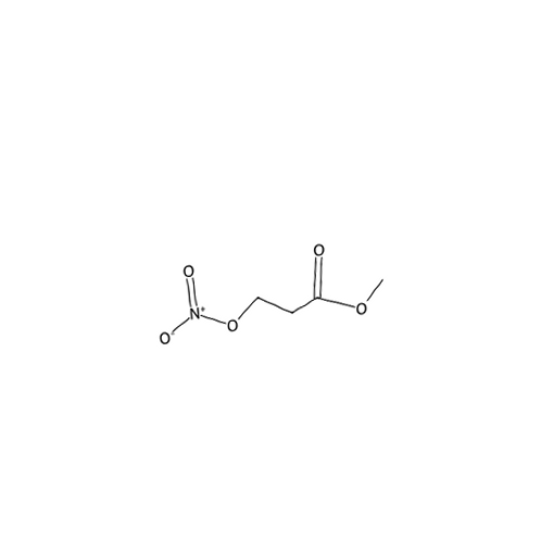 COC(=O)CCO[N+](=O)[O-]